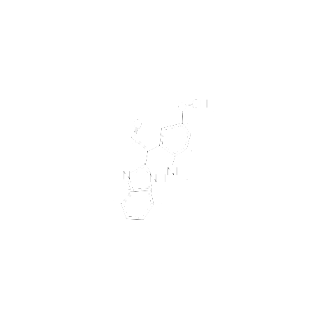 COc1ccc(N)c(C(=S=O)c2nc3ccccc3[nH]2)c1